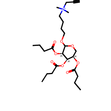 C#CC[N+](C)(C)CCCCOC1OC[C@@H](OC(=O)CCC)[C@@H](OC(=O)CCC)[C@H]1OC(=O)CCC